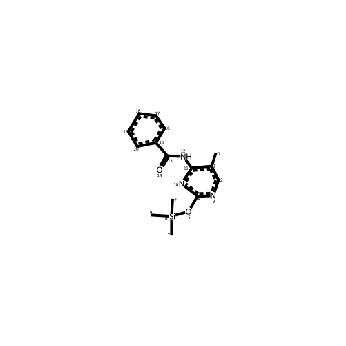 Cc1cnc(O[Si](C)(C)C)nc1NC(=O)c1ccccc1